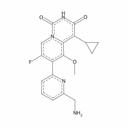 COc1c(-c2cccc(CN)n2)c(F)cn2c(=O)[nH]c(=O)c(C3CC3)c12